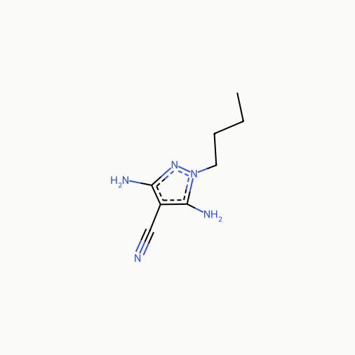 CCCCn1nc(N)c(C#N)c1N